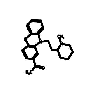 CC(=O)c1ccc2c(c1)N(CCC1CCCCN1C)c1ccccc1S2